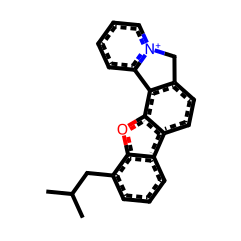 CC(C)Cc1cccc2c1oc1c3c(ccc12)C[n+]1ccccc1-3